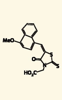 COc1ccc(/C=C2/SC(=S)N(CC(=O)O)C2=O)c2ccccc12